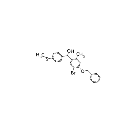 CSc1ccc(C(O)c2cc(Br)c(OCc3ccccc3)cc2C)cc1